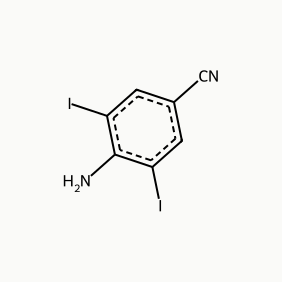 N#Cc1cc(I)c(N)c(I)c1